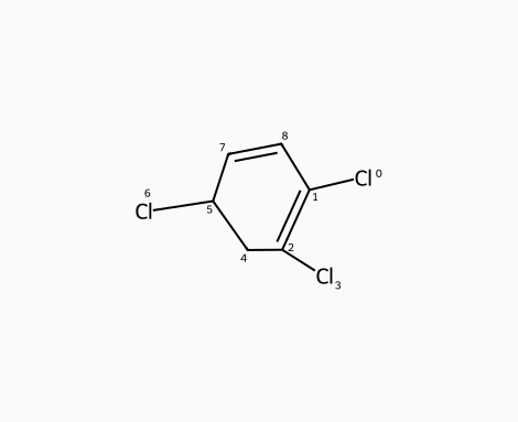 ClC1=C(Cl)CC(Cl)C=C1